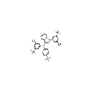 CC(C)(C)c1ccc(N(c2cc(Cl)cc(C(C)(C)C)c2)c2cn(-c3cc(Cl)cc(C(C)(C)C)c3)c3ccccc23)cc1